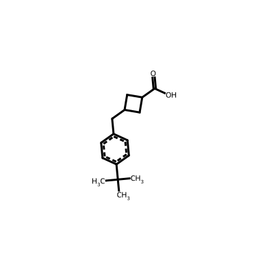 CC(C)(C)c1ccc(CC2CC(C(=O)O)C2)cc1